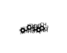 CC1(C)CC(=O)Nc2ccc(C(O)CN3CCC[C@H](Cc4ccccc4)C3)c(Cl)c21